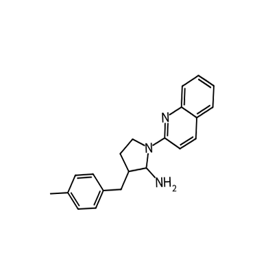 Cc1ccc(CC2CCN(c3ccc4ccccc4n3)C2N)cc1